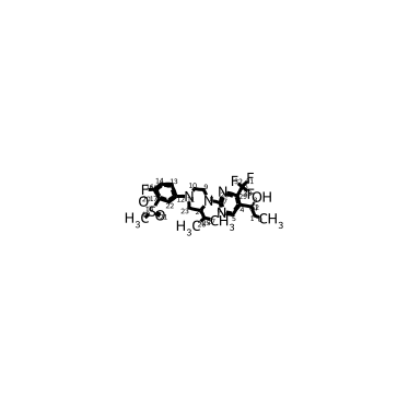 CC[C@H](O)c1cnc(N2CCN(c3ccc(F)c(S(C)(=O)=O)c3)CC2C(C)C)nc1C(F)(F)F